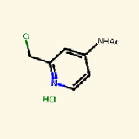 CC(=O)Nc1ccnc(CCl)c1.Cl